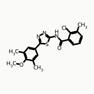 COc1c(C)cc(-c2nnc(NC(=O)c3cccc(C)c3Cl)s2)cc1C